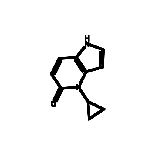 O=c1ccc2[nH]ccc2n1C1CC1